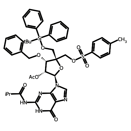 CC(=O)O[C@H]1[C@H](n2cnc3c(=O)[nH]c(NC(=O)C(C)C)nc32)O[C@@](CO[Si](c2ccccc2)(c2ccccc2)C(C)(C)C)(COS(=O)(=O)c2ccc(C)cc2)[C@H]1OCc1ccccc1